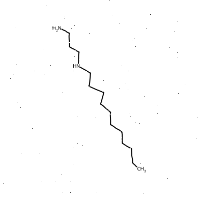 CCCCCCCCCCCNCCCN